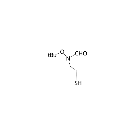 CC(C)(C)ON(C=O)CCS